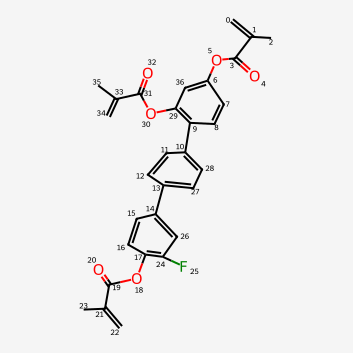 C=C(C)C(=O)Oc1ccc(-c2ccc(-c3ccc(OC(=O)C(=C)C)c(F)c3)cc2)c(OC(=O)C(=C)C)c1